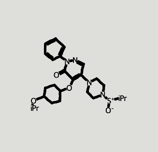 CC(C)OC1CCC(Oc2c(N3CCN([S+]([O-])C(C)C)CC3)cnn(-c3ccccc3)c2=O)CC1